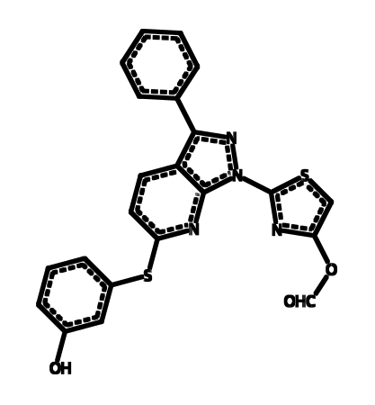 O=COc1csc(-n2nc(-c3ccccc3)c3ccc(Sc4cccc(O)c4)nc32)n1